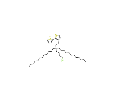 CCCCCCCCCCCCC(CCCCF)(CCCCCCCCCCCC)CCc1ccsc1-c1cccs1